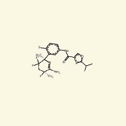 C[C@]1(F)CC(F)(F)[C@@](C)(c2cc(NC(=O)c3coc(C(F)F)n3)ccc2F)N=C1N